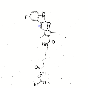 CCC(=O)ONC(=O)CCCCCNC(=O)c1c(C)[nH]c(/C=C2\C(=O)Nc3ccc(F)cc32)c1C